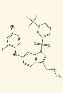 CNCc1cn(S(=O)(=O)c2cccc(C(F)(F)F)c2)c2cc(Nc3ccc(C)cc3F)ccc12